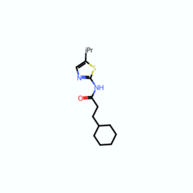 CC(C)c1cnc(NC(=O)CCC2CCCCC2)s1